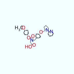 COc1ccc(OC(=O)N(CC(=O)O)Cc2ccc(OCC3CCCN3c3ccccn3)cc2)cc1